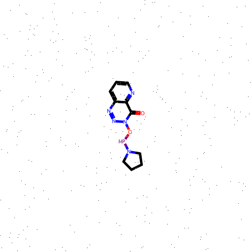 O=c1c2ncccc2nnn1OPN1CCCC1